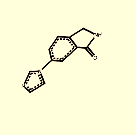 O=C1NCc2ccc(-n3ccnc3)cc21